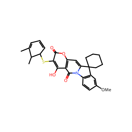 COc1ccc2c(c1)C1(CCCCC1)c1cc3oc(=O)c(SC4C=CC=C(C)C4C)c(O)c3c(=O)n1-2